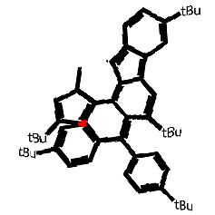 CC1C=C(C(C)(C)C)C=C1c1c2c(cc(C(C)(C)C)c1=C(c1ccc(C(C)(C)C)cc1)c1ccc(C(C)(C)C)cc1)=c1cc(C(C)(C)C)ccc1=[C]2